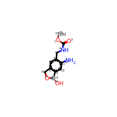 CC(C)(C)OC(=O)NCc1cc2c(cc1N)B(O)OC2